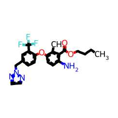 CCCCOC(=O)c1c(N)ccc(Oc2ccc(Cn3nccn3)cc2C(F)(F)F)c1C